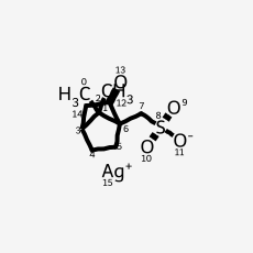 CC1(C)C2CCC1(CS(=O)(=O)[O-])C(=O)C2.[Ag+]